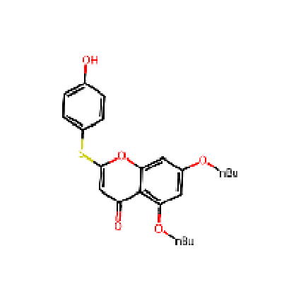 CCCCOc1cc(OCCCC)c2c(=O)cc(Sc3ccc(O)cc3)oc2c1